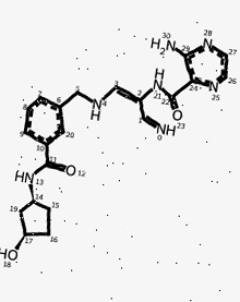 N=C/C(=C\NCc1cccc(C(=O)N[C@H]2CC[C@@H](O)C2)c1)NC(=O)c1nccnc1N